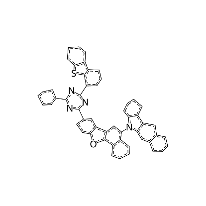 c1ccc(-c2nc(-c3ccc4oc5c6ccccc6c(-n6c7ccccc7c7cc8ccccc8cc76)cc5c4c3)nc(-c3cccc4c3sc3ccccc34)n2)cc1